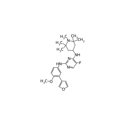 COc1ccc(Nc2ncc(F)c(NC3CC(C)(C)N(C)C(C)(C)C3)n2)cc1-c1ccoc1